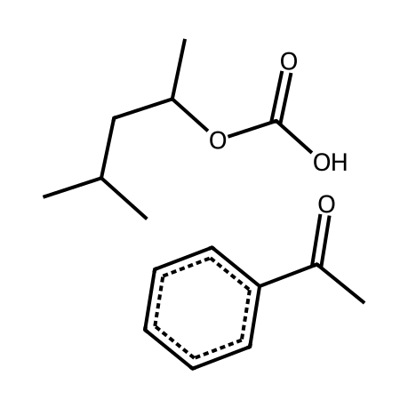 CC(=O)c1ccccc1.CC(C)CC(C)OC(=O)O